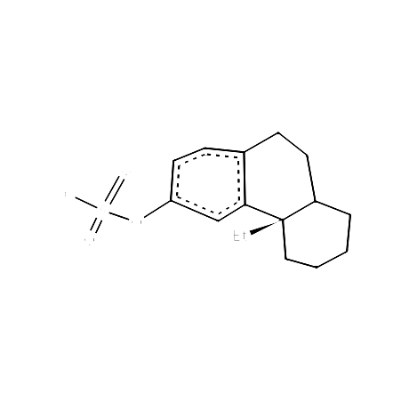 CC[C@]12CCCCC1CCc1ccc(OS(=O)(=O)C(F)(F)F)cc12